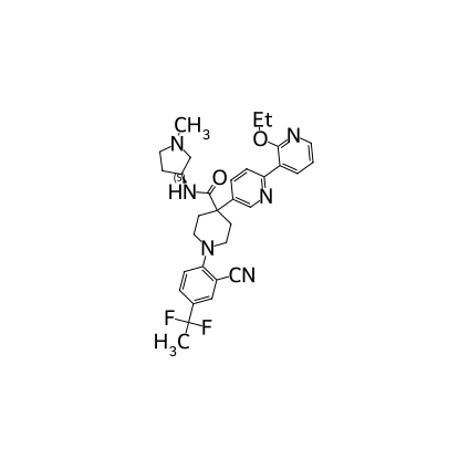 CCOc1ncccc1-c1ccc(C2(C(=O)N[C@H]3CCN(C)C3)CCN(c3ccc(C(C)(F)F)cc3C#N)CC2)cn1